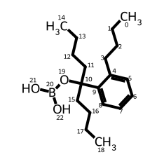 CCCCc1ccccc1C(CCCC)(CCCC)OB(O)O